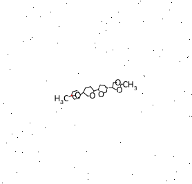 CC1OCC(C2CCC(C3CCC(C45CCC(C)(CC4)CC5)CO3)OC2)CO1